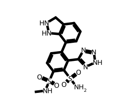 CNS(=O)(=O)c1ccc(-c2cccc3c2NNC3)c(-c2nn[nH]n2)c1S(N)(=O)=O